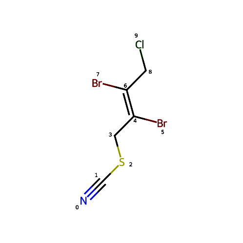 N#CSCC(Br)=C(Br)CCl